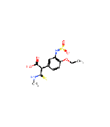 CCOc1ccc(C(C(=O)O)C(=S)NC)cc1N=S(=O)=O